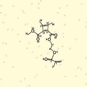 C=C(C)C(=O)OCCOC(=O)C1=C(C(=O)OC)C(C)=C1C